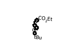 CCOC(=O)C1CCN(Cc2ccc3c(O[C@H]4CC[C@H](C(C)(C)C)CC4)cccc3c2)CC1